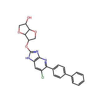 OC1COC2C(Oc3nc4nc(-c5ccc(-c6ccccc6)cc5)c(Cl)cc4[nH]3)COC12